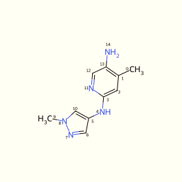 Cc1cc(Nc2cnn(C)c2)ncc1N